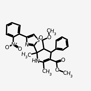 COC(=O)C1=C(C)NC(C)(c2nc(-c3ccccc3[N+](=O)[O-])cs2)C(C(=O)OC)C1c1ccccc1